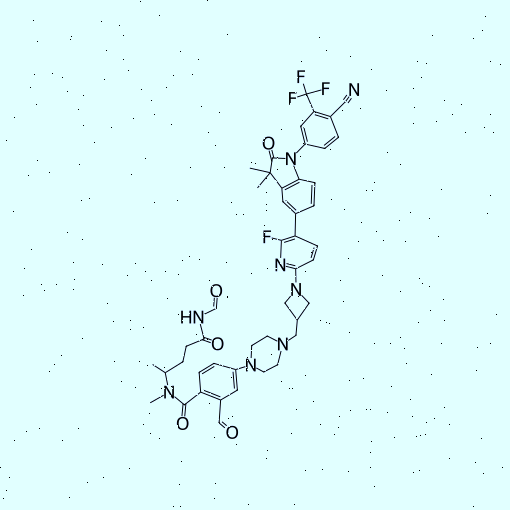 CC(CCC(=O)NC=O)N(C)C(=O)c1ccc(N2CCN(CC3CN(c4ccc(-c5ccc6c(c5)C(C)(C)C(=O)N6c5ccc(C#N)c(C(F)(F)F)c5)c(F)n4)C3)CC2)cc1C=O